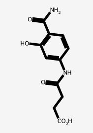 NC(=O)c1ccc(NC(=O)CCC(=O)O)cc1O